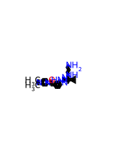 CN(C)C1CCN(C(=O)Cc2cccc(Nc3ncc(C4CC4)c(NCCCN)n3)c2)CC1